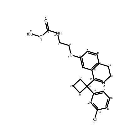 CC(C)(C)OC(=O)NCCOc1ccc2c(c1)C(C1(c3cccc(Cl)n3)CCC1)=NCC2